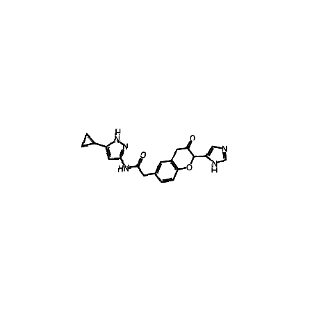 O=C(Cc1ccc2c(c1)CC(=O)C(c1cnc[nH]1)O2)Nc1cc(C2CC2)[nH]n1